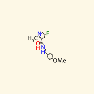 COc1ccc(CCNC[C@H](O)c2cc(F)cnc2C)cc1